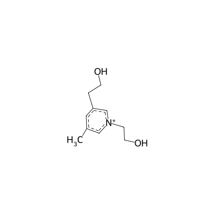 Cc1cc(CCO)c[n+](CCO)c1